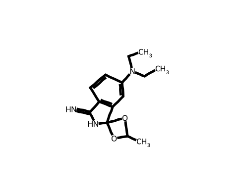 CCN(CC)c1ccc2c(c1)C1(NC2=N)OC(C)O1